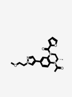 COCCn1cc(-c2ccc3c(c2)N(C(=O)c2ccco2)C[C@H](C)N3C(C)=O)cn1